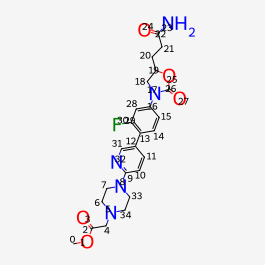 COC(=O)CN1CCN(c2ccc(-c3ccc(N4CC(CCC(N)=O)OC4=O)cc3F)cn2)CC1